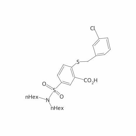 CCCCCCN(CCCCCC)S(=O)(=O)c1ccc(SCc2cccc(Cl)c2)c(C(=O)O)c1